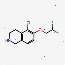 FC(F)COc1ccc2c(c1Cl)CCNC2